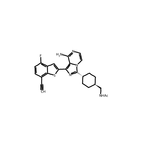 C#Cc1ccc(F)c2cc(-c3nc([C@H]4CC[C@H](CNC(C)=O)CC4)n4ccnc(N)c34)sc12